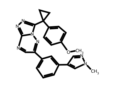 COc1ccc(C2(c3nnc4ncc(-c5cccc(-c6cnn(C)c6)c5)nn34)CC2)cc1